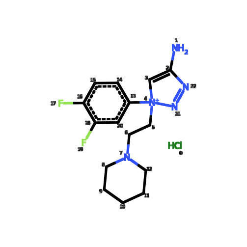 Cl.NC1=C[N+](CCN2CCCCC2)(c2ccc(F)c(F)c2)N=N1